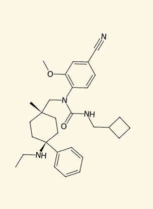 CCN[C@]1(c2ccccc2)CC[C@@](C)(CN(C(=O)NCC2CCC2)c2ccc(C#N)cc2OC)CC1